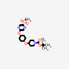 CC(C)(C)OC(=O)N1CCC(O[C@H]2CC[C@H](Oc3cnc(S(C)(=O)=O)cn3)CC2)CC1